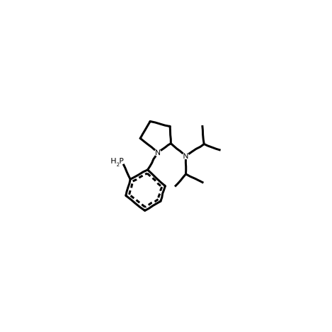 CC(C)N(C(C)C)C1CCCN1c1ccccc1P